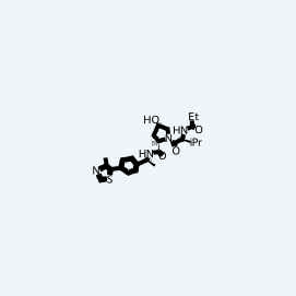 CCC(=O)N[C@H](C(=O)N1C[C@H](O)C[C@H]1C(=O)N[C@@H](C)c1ccc(-c2scnc2C)cc1)C(C)C